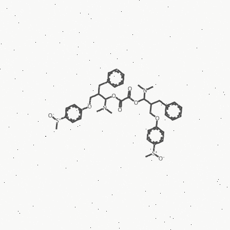 CN(C)C(OC(=O)C(=O)OC(C(COc1ccc([S+](C)[O-])cc1)Cc1ccccc1)N(C)C)C(COc1ccc([S+](C)[O-])cc1)Cc1ccccc1